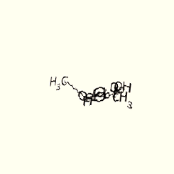 CCCCCCCCCOc1ccc(C(=O)Oc2ccc(C(CC)C[C@](F)(C(=O)O)C3CCCCC3)cc2)c(F)c1F